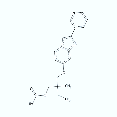 CC(C)C(=O)OCC(C)(COc1ccc2cc(-c3cccnc3)sc2c1)CC(F)(F)F